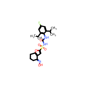 CC(C)c1cc(F)cc(C(C)C)c1NC(=O)NS(=O)(=O)c1cc2c(o1)CCC/C2=N\O